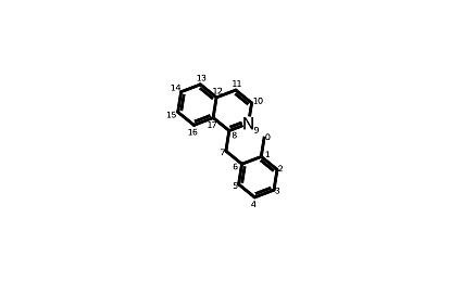 Cc1ccccc1Cc1nccc2ccccc12